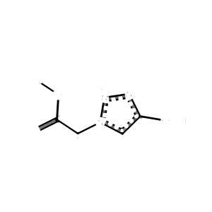 CC(C)(C)OC(=O)Cn1cc(C(=O)O)nn1